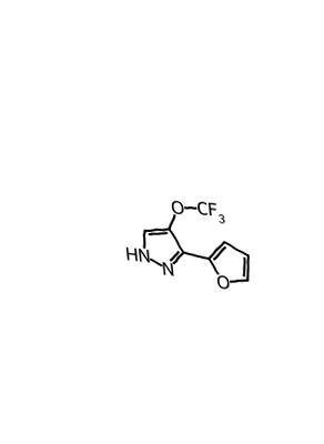 FC(F)(F)Oc1c[nH]nc1-c1ccco1